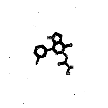 CCNC(=O)Cn1nc(-c2cccc(F)c2)c2[nH]ccc2c1=O